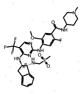 COc1cc(C(=O)NC2CCN(C)CC2)c(F)cc1Nc1ncc(C(F)(F)F)c(N[C@@H]2Cc3ccccc3[C@H]2NCS(C)(=O)=O)n1